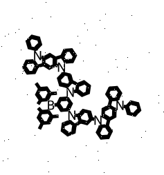 Cc1cc(C)c(B(c2cc(-n3c4ccccc4c4cc(-n5c6ccccc6c6cc7c(cc65)c5ccccc5n7-c5ccccc5)ccc43)cc(-n3c4ccccc4c4cc(-n5c6ccccc6c6cc7c(cc65)c5ccccc5n7-c5ccccc5)ccc43)c2)c2c(C)cc(C)cc2C)c(C)c1